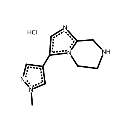 Cl.Cn1cc(-c2cnc3n2CCNC3)cn1